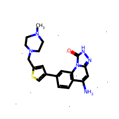 CN1CCN(Cc2cc(-c3ccc4c(N)cc5n[nH]c(=O)n5c4c3)cs2)CC1